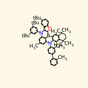 Cc1cc2c3c(c1)N(c1cc(C(C)(C)C)cc(C(C)(C)C)c1)c1c(oc4ccc(C(C)(C)C)cc14)B3c1cc3c(cc1N2c1ccc(-c2ccccc2C)cc1C)C(C)(C)CCC3(C)C